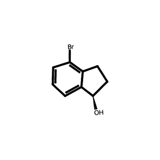 O[C@@H]1CCc2c(Br)cccc21